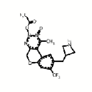 Cc1c2c(nn(OC(=O)C(F)(F)F)[n+]1=O)COc1cc(C(F)(F)F)c(CC3CNC3)cc1-2